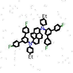 CCc1ccc(N(c2cc(-c3ccc(F)cc3)cc(-c3ccc(F)cc3)c2)c2ccc3ccc4c(N(c5ccc(CC)cc5)c5cc(-c6ccc(F)cc6)cc(-c6ccc(F)cc6)c5)ccc5ccc2c3c54)cc1